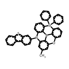 Cc1cc2c3c(c1)N(c1ccc4c(c1)sc1ccccc14)c1cccc4c1B3c1c(cccc1[Si]4(c1ccccc1)c1ccccc1)O2